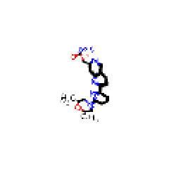 C[C@@H]1CN(c2cccc(-c3ccc4cnc(COC(N)=O)cc4n3)n2)C[C@H](C)O1